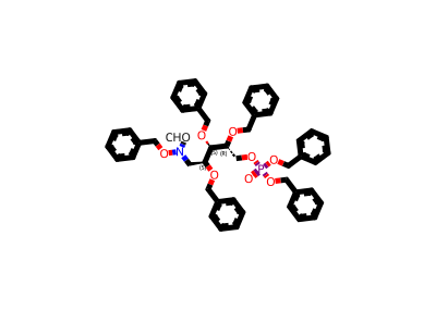 O=CN(C[C@H](OCc1ccccc1)[C@H](OCc1ccccc1)[C@@H](COP(=O)(OCc1ccccc1)OCc1ccccc1)OCc1ccccc1)OCc1ccccc1